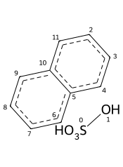 O=S(=O)(O)O.c1ccc2ccccc2c1